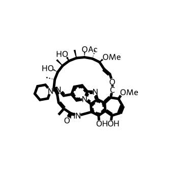 COC1C#CC(O)=c2c(O)c3c4c(nc5ccc(/C=N/N6CCCCC6)cn54)c2=C1CO/C=C/[C@H](OC)[C@@H](C)[C@@H](OC(C)=O)[C@H](C)[C@H](O)[C@H](C)[C@@H](O)[C@@H](C)/C=C/C=C(/C)C(=O)N3